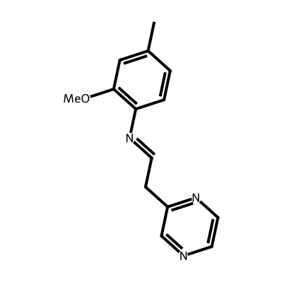 COc1cc(C)ccc1N=CCc1cnccn1